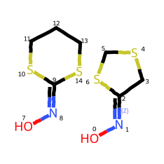 O/N=C1/CSCS1.ON=C1SCCCS1